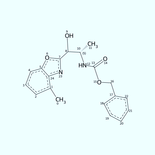 Cc1cccc2oc(C(O)[C@H](C)NC(=O)OCc3ccccc3)nc12